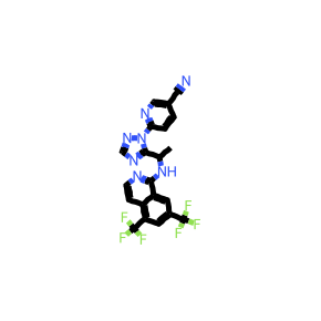 CC(Nc1nccc2c(C(F)(F)F)cc(C(F)(F)F)cc12)c1ncnn1-c1ccc(C#N)cn1